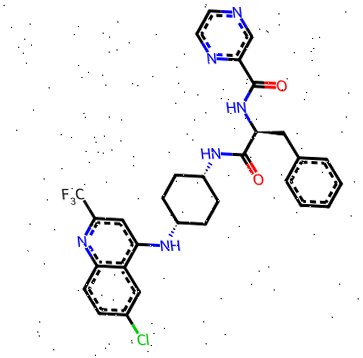 O=C(N[C@@H](Cc1ccccc1)C(=O)N[C@H]1CC[C@@H](Nc2cc(C(F)(F)F)nc3ccc(Cl)cc23)CC1)c1cnccn1